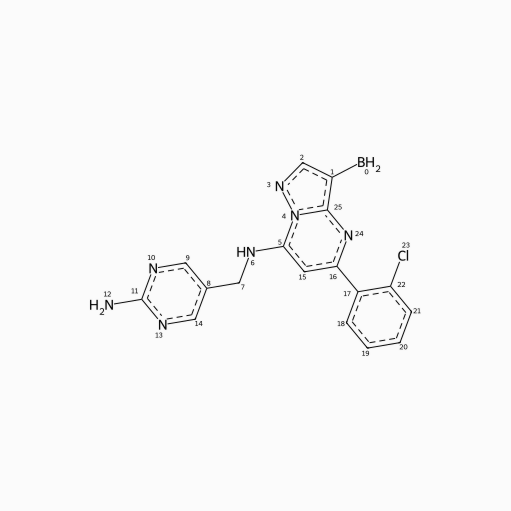 Bc1cnn2c(NCc3cnc(N)nc3)cc(-c3ccccc3Cl)nc12